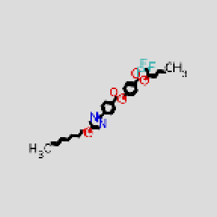 CCCCCCCCOc1cnc(-c2ccc(C(=O)Oc3ccc(C(=O)OC(CCCC)C(F)(F)F)cc3)cc2)nc1